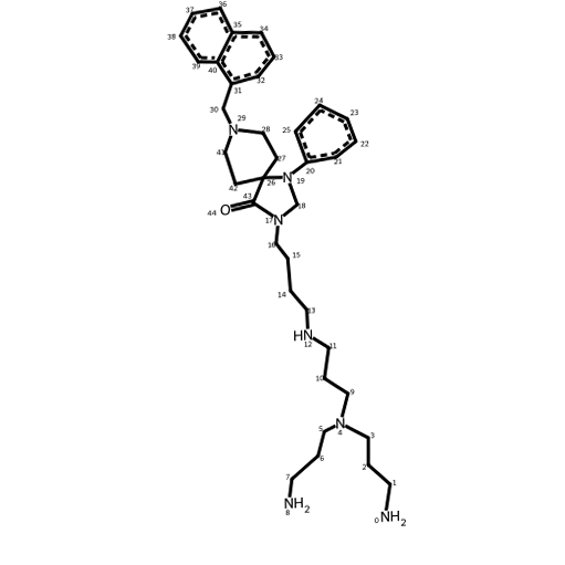 NCCCN(CCCN)CCCNCCCCN1CN(c2ccccc2)C2(CCN(Cc3cccc4ccccc34)CC2)C1=O